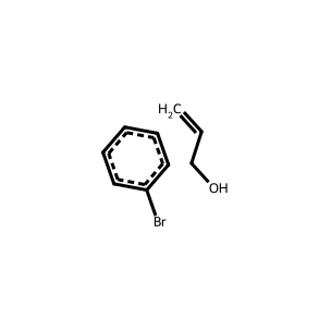 Brc1ccccc1.C=CCO